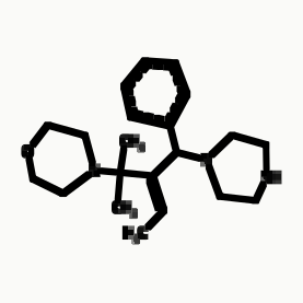 CC=C(C(c1ccccc1)N1CCNCC1)C(C)(C)N1CCOCC1